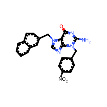 Nc1nc(=O)c2c(ncn2Cc2ccc3ccccc3c2)n1Cc1ccc([N+](=O)[O-])cc1